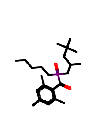 CCCCCP(=O)(CC(C)CC(C)(C)C)C(=O)c1c(C)cc(C)cc1C